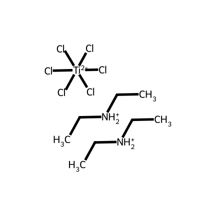 CC[NH2+]CC.CC[NH2+]CC.[Cl][Ti-2]([Cl])([Cl])([Cl])([Cl])[Cl]